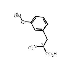 CC(C)(C)Oc1cccc(C[C@H](N)C(=O)O)c1